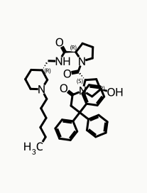 CCCCCCN1CCC[C@H](CNC(=O)[C@H]2CCCN2C(=O)[C@@H]2C[C@@H](O)CN2C(=O)CC(c2ccccc2)(c2ccccc2)c2ccccc2)C1